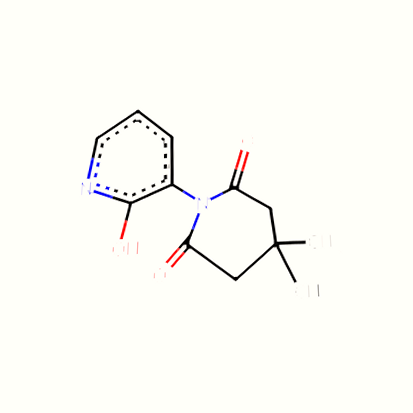 CC1(C)CC(=O)N(c2cccnc2O)C(=O)C1